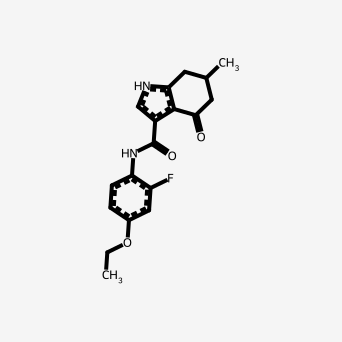 CCOc1ccc(NC(=O)c2c[nH]c3c2C(=O)CC(C)C3)c(F)c1